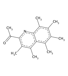 CC(=O)c1nc2c(C)c(C)c(C)c(C)c2c(C)c1C